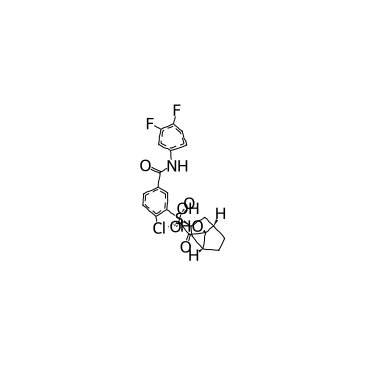 C[C@H](O)C(=O)[C@@]1(O)[C@@H]2CC[C@H]1C[C@H](S(=O)(=O)c1cc(C(=O)Nc3ccc(F)c(F)c3)ccc1Cl)C2